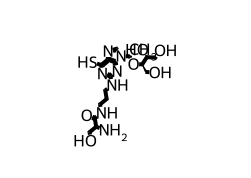 CC(O[C@H](CO)[C@H](O)CO)n1cnc2c(S)nc(NCCCNC(=O)C(N)CO)nc21